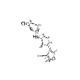 Cc1noc(C)c1-c1cccc(Nc2nccc(Cl)n2)c1